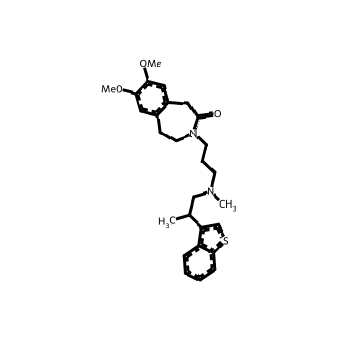 COc1cc2c(cc1OC)CC(=O)N(CCCN(C)CC(C)c1csc3ccccc13)CC2